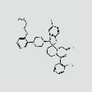 C=CCC1N(C(=O)c2cnccc2C(F)(F)F)CCCC1(Oc1ccc(I)cc1)C(=O)N1CCN(c2ccccc2OCCOC)CC1